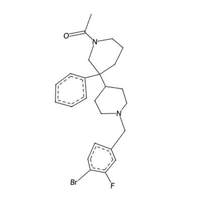 CC(=O)N1CCCC(c2ccccc2)(C2CCN(Cc3ccc(Br)c(F)c3)CC2)C1